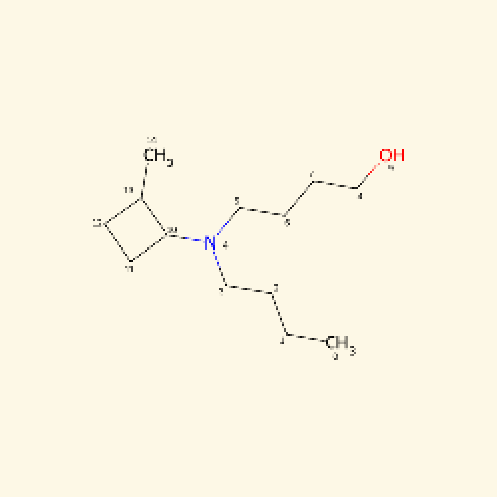 CCCCN(CCCCO)C1CCC1C